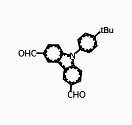 CC(C)(C)c1ccc(-n2c3ccc(C=O)cc3c3cc(C=O)ccc32)cc1